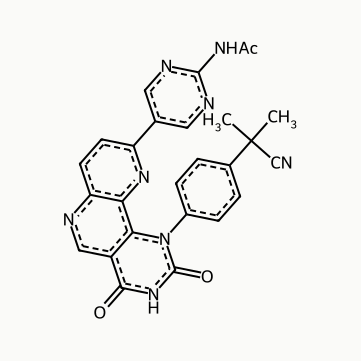 CC(=O)Nc1ncc(-c2ccc3ncc4c(=O)[nH]c(=O)n(-c5ccc(C(C)(C)C#N)cc5)c4c3n2)cn1